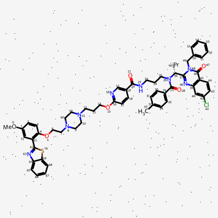 COc1ccc(OCCN2CCN(CCCOc3ccc(C(=O)NCCCN(C(=O)c4ccc(C)cc4)[C@@H](c4nc5cc(Cl)ccc5c(=O)n4Cc4ccccc4)C(C)C)cn3)CC2)c(-c2nc3ccccc3s2)c1